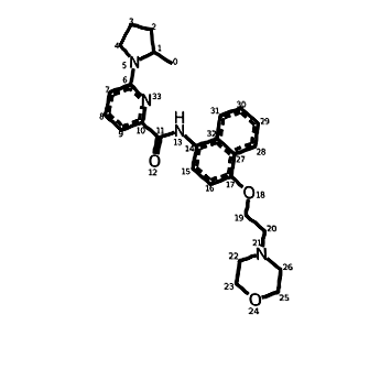 CC1CCCN1c1cccc(C(=O)Nc2ccc(OCCN3CCOCC3)c3ccccc23)n1